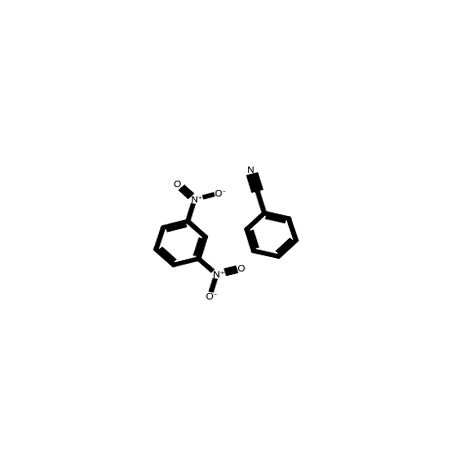 N#Cc1ccccc1.O=[N+]([O-])c1cccc([N+](=O)[O-])c1